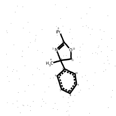 CC(C)C1=NC(C)(c2ccccc2)[CH]O1